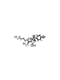 CCCCC[C@H](C)[C@@H](CO)NS(=O)(=O)c1ccc(Br)cc1